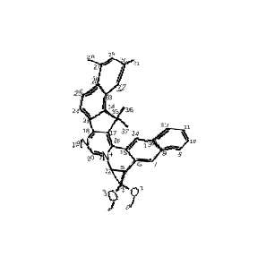 COC1(OC)C2c3cc4ccccc4cc3-c3c4c(nc[n+]3C21)-c1ccc2c(C)cc(C)cc2c1C4(C)C